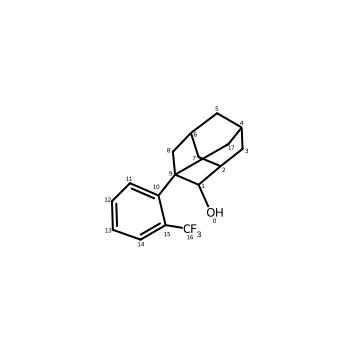 OC1C2CC3CC(C2)CC1(c1ccccc1C(F)(F)F)C3